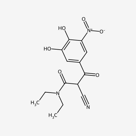 CCN(CC)C(=O)C(C#N)C(=O)c1cc(O)c(O)c([N+](=O)[O-])c1